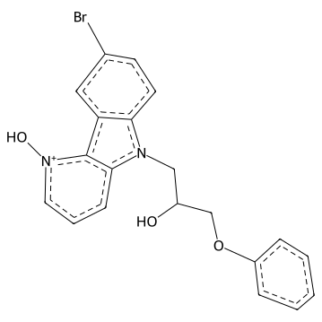 OC(COc1ccccc1)Cn1c2ccc(Br)cc2c2c1ccc[n+]2O